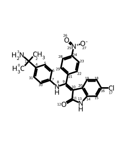 CC(C)(N)c1ccc(N/C(=C2\C(=O)Nc3cc(Cl)ccc32)c2ccc([N+](=O)[O-])cc2)cc1